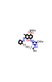 CCC(C)C(Nc1nc(Nc2ccc(S(=O)(=O)OC)c3cc(C)c(N=Nc4ccccc4C(F)(F)F)c(O)c23)nc(OC)n1)C(=O)O